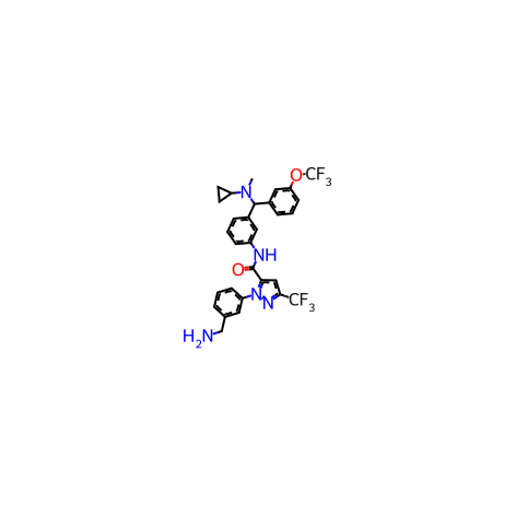 CN(C1CC1)C(c1cccc(NC(=O)c2cc(C(F)(F)F)nn2-c2cccc(CN)c2)c1)c1cccc(OC(F)(F)F)c1